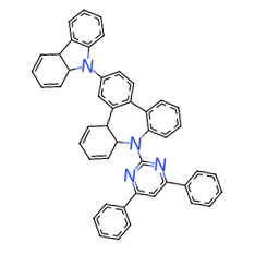 C1=CC2c3ccccc3N(c3ccc4c(c3)C3C=CC=CC3N(c3nc(-c5ccccc5)cc(-c5ccccc5)n3)c3ccccc3-4)C2C=C1